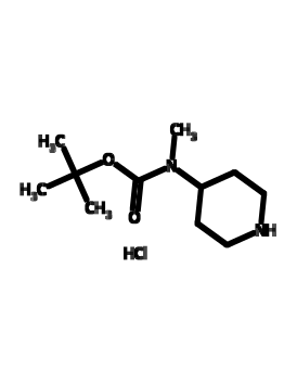 CN(C(=O)OC(C)(C)C)C1CCNCC1.Cl